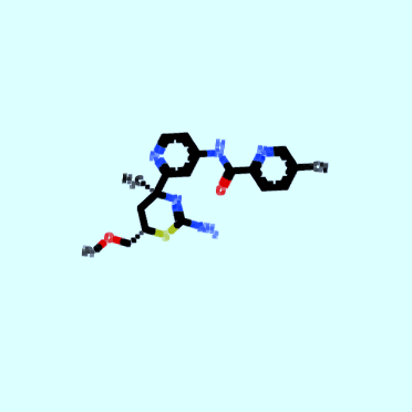 CC(C)OC[C@@H]1C[C@@](C)(c2cc(NC(=O)c3ccc(C#N)cn3)ccn2)N=C(N)S1